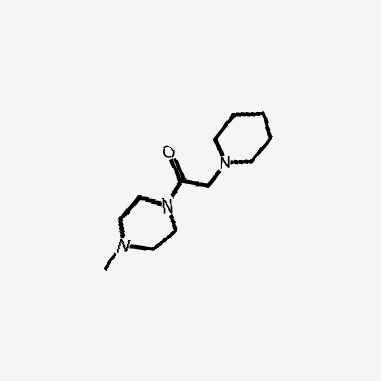 CN1CCN(C(=O)CN2CCCCC2)CC1